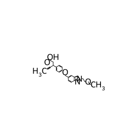 CC#CC(CC(=O)O)c1ccc(OCc2ccc3nn(CCOCC)cc3c2)cc1